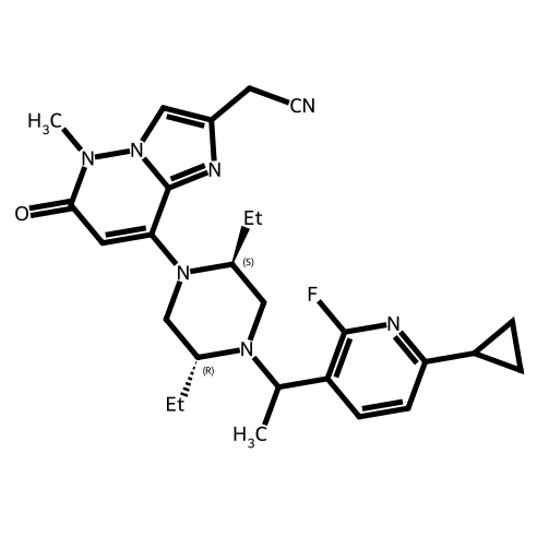 CC[C@H]1CN(C(C)c2ccc(C3CC3)nc2F)[C@H](CC)CN1c1cc(=O)n(C)n2cc(CC#N)nc12